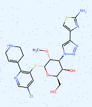 CO[C@@H]1[C@@H](n2cc(-c3csc(N)n3)nn2)[C@@H](O)[C@@H](CO)O[C@@H]1Sc1cc(Cl)cnc1C1=CCNCC1